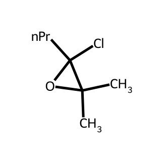 CCCC1(Cl)OC1(C)C